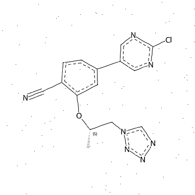 C[C@@H](Cn1cnnn1)Oc1cc(-c2cnc(Cl)nc2)ccc1C#N